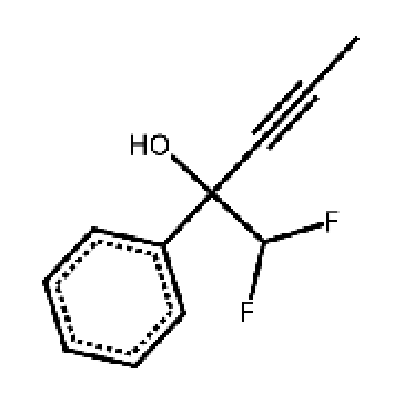 CC#CC(O)(c1ccccc1)C(F)F